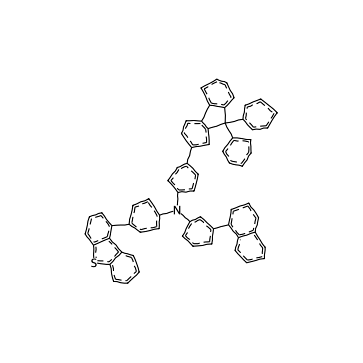 c1ccc(C2(c3ccccc3)c3ccccc3-c3ccc(-c4ccc(N(c5ccc(-c6cccc7sc8ccccc8c67)cc5)c5cccc(-c6cccc7ccccc67)c5)cc4)cc32)cc1